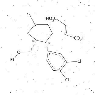 CCOC[C@@H]1CN(C)CC[C@@H]1c1ccc(Cl)c(Cl)c1.O=C(O)C=CC(=O)O